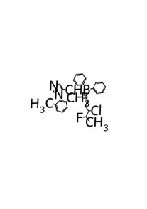 CC(F)C(Cl)C=CCB(c1ccccc1)c1ccccc1.Cc1cccc(C)c1-n1cncc1C